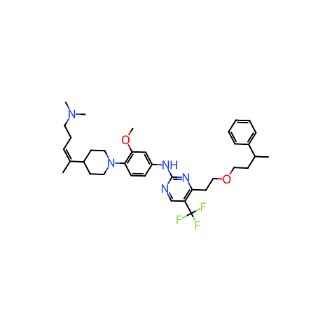 COc1cc(Nc2ncc(C(F)(F)F)c(CCOCCC(C)c3ccccc3)n2)ccc1N1CCC(/C(C)=C\CCN(C)C)CC1